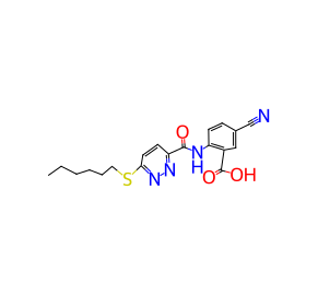 CCCCCCSc1ccc(C(=O)Nc2ccc(C#N)cc2C(=O)O)nn1